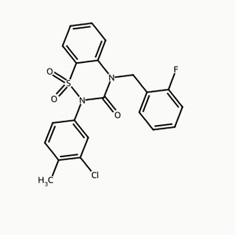 Cc1ccc(N2C(=O)N(Cc3ccccc3F)c3ccccc3S2(=O)=O)cc1Cl